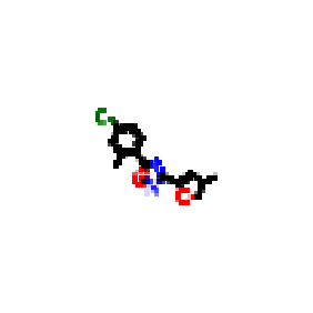 Cc1cc(Cl)ccc1-c1nc(C2=CC(C)CO2)no1